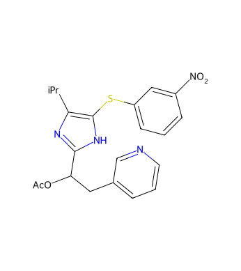 CC(=O)OC(Cc1cccnc1)c1nc(C(C)C)c(Sc2cccc([N+](=O)[O-])c2)[nH]1